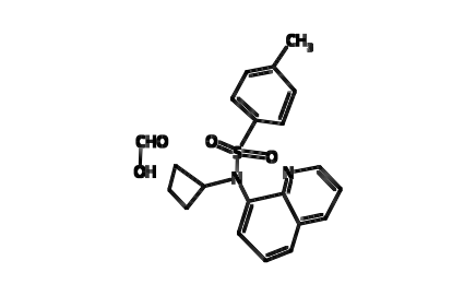 Cc1ccc(S(=O)(=O)N(c2cccc3cccnc23)C2CCC2)cc1.O=CO